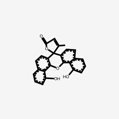 CC1=CC(=O)OC12c1ccc3cccc(O)c3c1Oc1c2ccc2cccc(O)c12